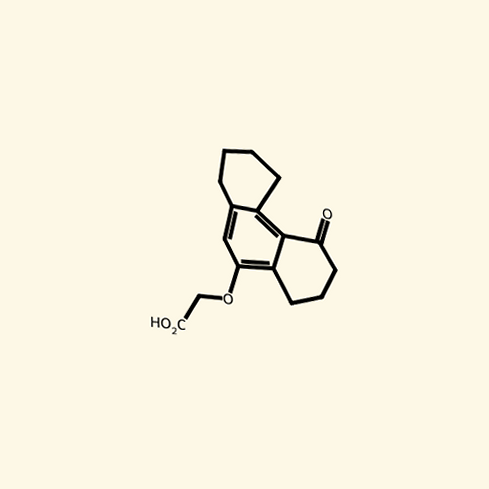 O=C(O)COc1cc2c(c3c1CCCC3=O)CCCC2